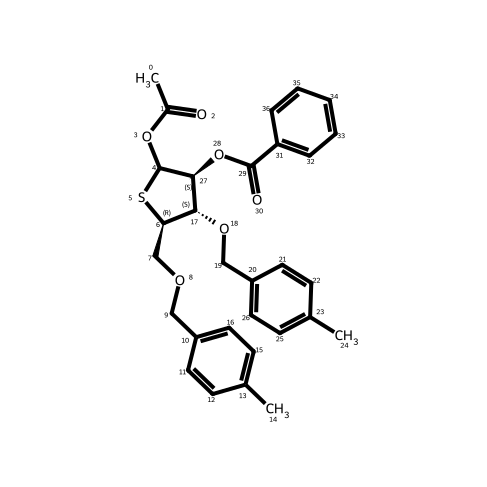 CC(=O)OC1S[C@H](COCc2ccc(C)cc2)[C@@H](OCc2ccc(C)cc2)[C@@H]1OC(=O)c1ccccc1